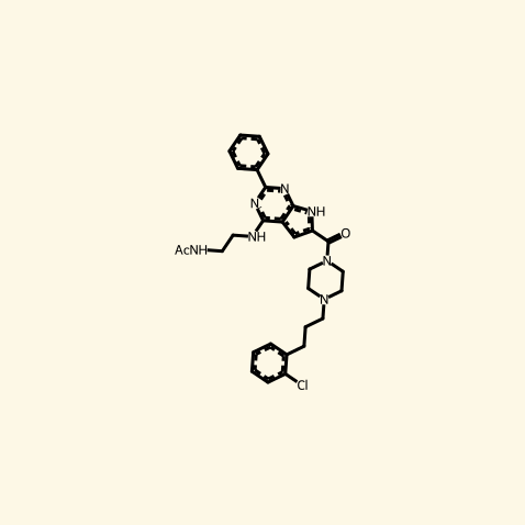 CC(=O)NCCNc1nc(-c2ccccc2)nc2[nH]c(C(=O)N3CCN(CCCc4ccccc4Cl)CC3)cc12